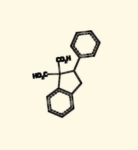 O=C(O)C1(C(=O)O)c2ccccc2CC1c1ccccc1